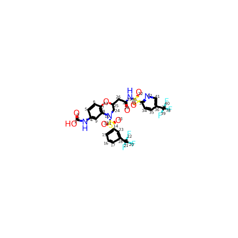 O=C(O)Nc1ccc2c(c1)N(S(=O)(=O)c1cccc(C(F)(F)F)c1)CC(CC(=O)NS(=O)(=O)c1ccc(C(F)(F)F)cn1)O2